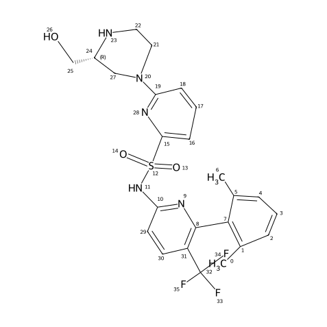 Cc1cccc(C)c1-c1nc(NS(=O)(=O)c2cccc(N3CCN[C@@H](CO)C3)n2)ccc1C(F)(F)F